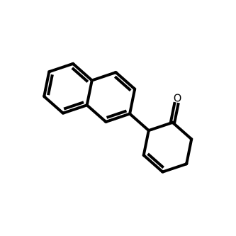 O=C1CCC=CC1c1ccc2ccccc2c1